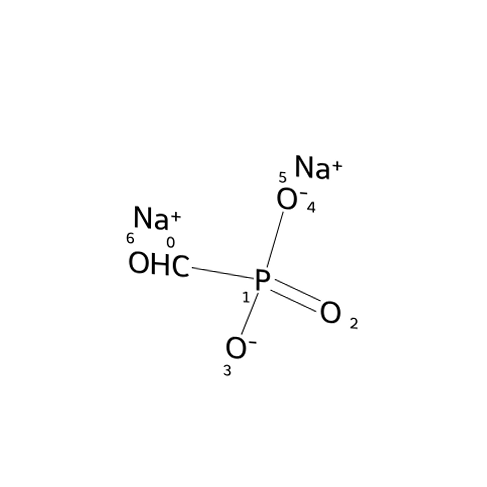 O=CP(=O)([O-])[O-].[Na+].[Na+]